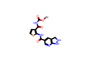 CC(C)OC(=O)NC(=O)c1ccsc1NC(=O)c1cnc2c(c1)CNN2